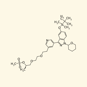 C[C@H](COCCOCCc1cncc(-c2nn(C3CCCCO3)c3ccc(O[Si](C)(C)C(C)(C)C)cc23)c1)OS(C)(=O)=O